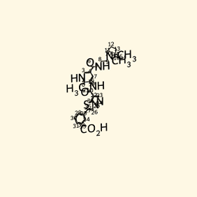 CC1NC=C(C(=O)NCCN2CCCC2(C)C)C=C1NC(=O)c1cnn2cc(-c3cccc(C(=O)O)c3)sc12